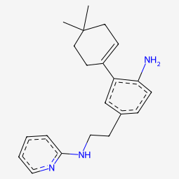 CC1(C)CC=C(c2cc(CCNc3ccccn3)ccc2N)CC1